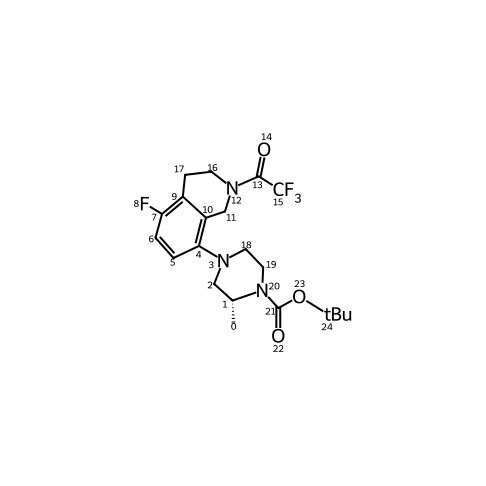 C[C@@H]1CN(c2ccc(F)c3c2CN(C(=O)C(F)(F)F)CC3)CCN1C(=O)OC(C)(C)C